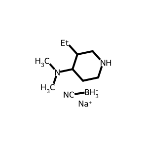 CCC1CNCCC1N(C)C.[BH3-]C#N.[Na+]